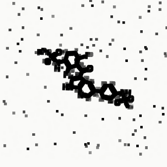 CCCS(=O)(=O)Nc1ccc(F)c(C(=O)c2c[nH]c3ncc(-c4ccc(NS(C)(=O)=O)cc4)cc23)c1F